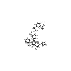 [2H]C(=O)c1cc(C(=O)N[C@H]2CCc3cc(-n4c(-c5cccnc5N)nc5c(C)cc(-n6cccn6)nc54)ccc32)ccc1O